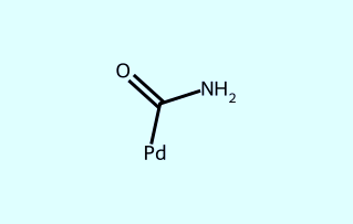 N[C](=O)[Pd]